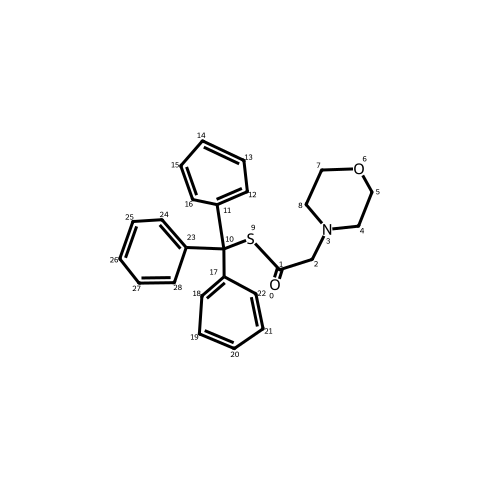 O=C(CN1CCOCC1)SC(c1ccccc1)(c1ccccc1)c1ccccc1